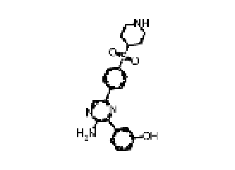 Nc1ncc(-c2ccc(S(=O)(=O)C3CCNCC3)cc2)nc1-c1cccc(O)c1